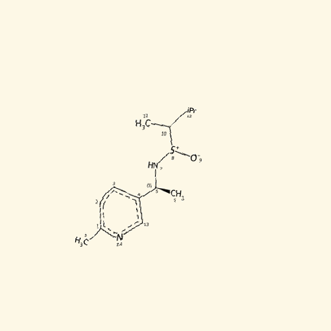 Cc1ccc([C@H](C)N[S+]([O-])C(C)C(C)C)cn1